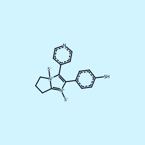 [S-][N+]1=C2CCC[N+]2([S-])C(c2ccncc2)=C1c1ccc(S)cc1